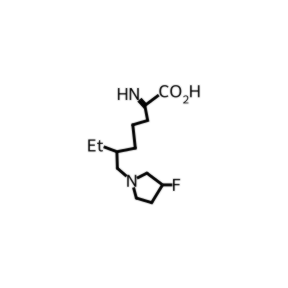 CCC(CCCC(=N)C(=O)O)CN1CCC(F)C1